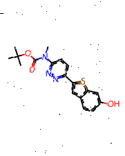 CN(C(=O)OC(C)(C)C)c1ccc(-c2cc3ccc(O)cc3s2)nn1